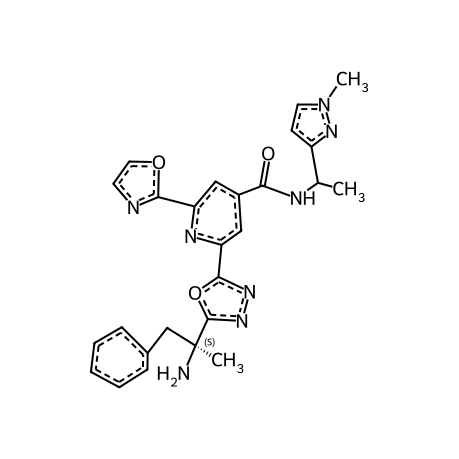 CC(NC(=O)c1cc(-c2ncco2)nc(-c2nnc([C@@](C)(N)Cc3ccccc3)o2)c1)c1ccn(C)n1